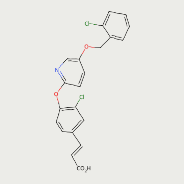 O=C(O)/C=C/c1ccc(Oc2ccc(OCc3ccccc3Cl)cn2)c(Cl)c1